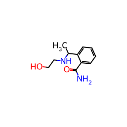 CC(NCCO)c1ccccc1C(N)=O